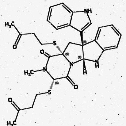 CC(=O)CCS[C@H]1C(=O)N2[C@H]3Nc4ccccc4[C@@]3(c3c[nH]c4ccccc34)C[C@]2(SCCC(C)=O)C(=O)N1C